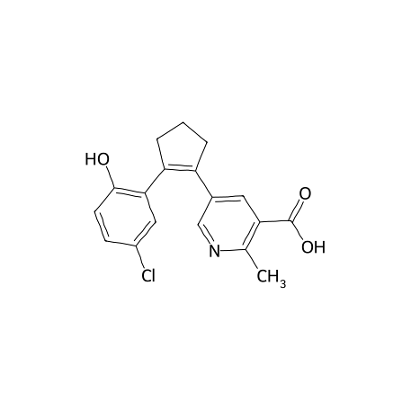 Cc1ncc(C2=C(c3cc(Cl)ccc3O)CCC2)cc1C(=O)O